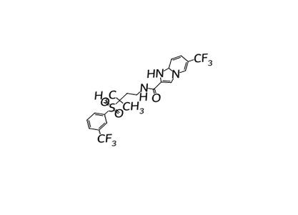 CC(C)(CCNC(=O)C1=CN2C=C(C(F)(F)F)C=CC2N1)S(=O)(=O)c1cccc(C(F)(F)F)c1